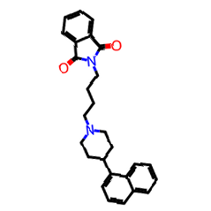 O=C1c2ccccc2C(=O)N1CCCCN1CCC(c2cccc3ccccc23)CC1